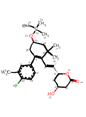 Cc1cc(C2=C(C=C[C@H]3C[C@H](O)CC(=O)O3)C(C)(C)CC(O[Si](C)(C)C(C)(C)C)C2)ccc1F